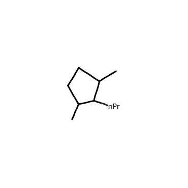 CCCC1C(C)CCC1C